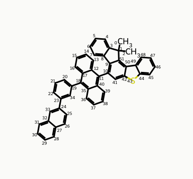 CC1(C)c2ccccc2-c2c(-c3c4ccccc4c(-c4cccc(-c5ccc6ccccc6c5)c4)c4ccccc34)cc3sc4ccccc4c3c21